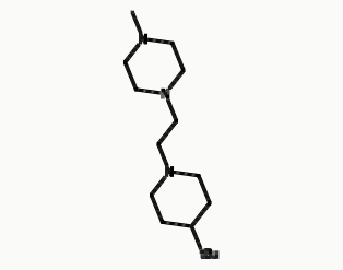 CN1CCN(CCN2CCC(C(C)(C)C)CC2)CC1